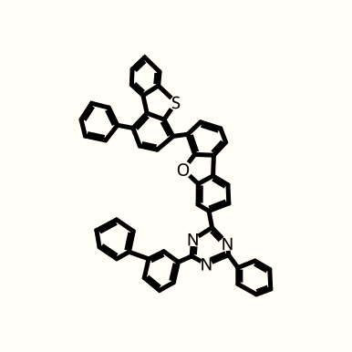 c1ccc(-c2cccc(-c3nc(-c4ccccc4)nc(-c4ccc5c(c4)oc4c(-c6ccc(-c7ccccc7)c7c6sc6ccccc67)cccc45)n3)c2)cc1